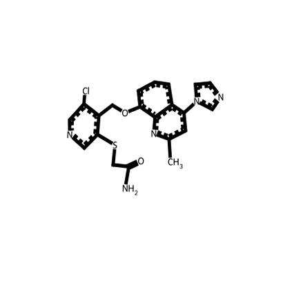 Cc1cc(-n2ccnc2)c2cccc(OCc3c(Cl)cncc3SCC(N)=O)c2n1